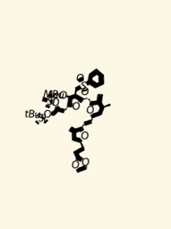 C=C1C[C@H](CCC2OCCO2)O[C@H]1CC[C@H]1C[C@H](C)C(=C)[C@@H](C[C@@H]2O[C@H](CC(CO[Si](C)(C)C(C)(C)C)O[Si](C)(C)C(C)(C)C)[C@@H](OC)[C@H]2CS(=O)(=O)c2ccccc2)O1